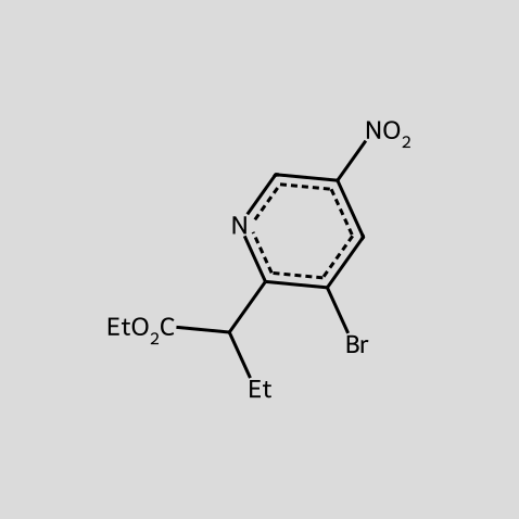 CCOC(=O)C(CC)c1ncc([N+](=O)[O-])cc1Br